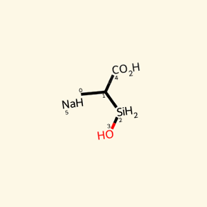 CC([SiH2]O)C(=O)O.[NaH]